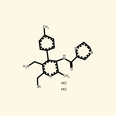 Cc1ccc(-c2c(CN)c(CC(C)C)nc(C)c2NC(=O)c2cnccn2)cc1.Cl.Cl